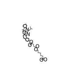 COC(=O)CCCCCOC(=O)CCC(=O)Oc1ccc2ccc3c(c2c1)N=CC1(O3)N(CC(C)C)c2ccccc2C1(C)C